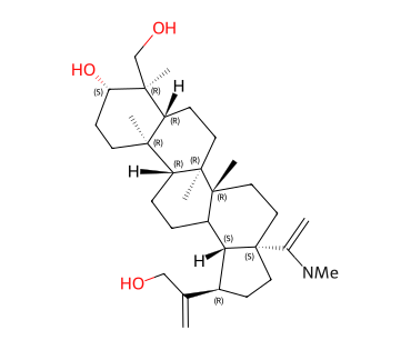 C=C(CO)[C@@H]1CC[C@]2(C(=C)NC)CC[C@]3(C)C(CC[C@@H]4[C@@]5(C)CC[C@H](O)[C@@](C)(CO)[C@@H]5CC[C@]43C)[C@@H]12